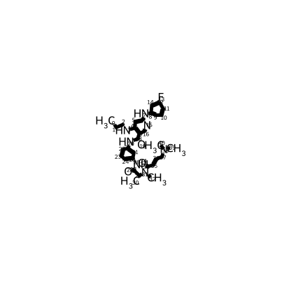 CCCNc1cc(Nc2cccc(F)c2)ncc1C(=O)Nc1cccc(NC(=O)[C@H](C)N(C)C(=O)C=CCN(C)C)c1